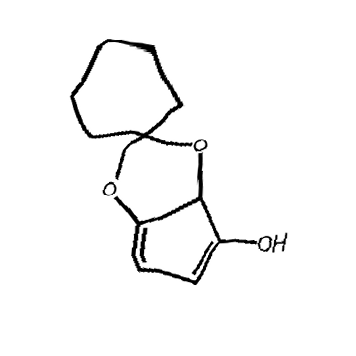 OC1=CC=C2OC3(CCCCC3)OC12